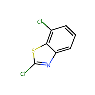 Clc1nc2cccc(Cl)c2s1